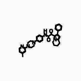 Cc1ccnc(N2CCN(c3ccc(NC(=O)C(=O)c4c(-c5ccccc5)cc5n4CCCC5)cc3)CC2)c1